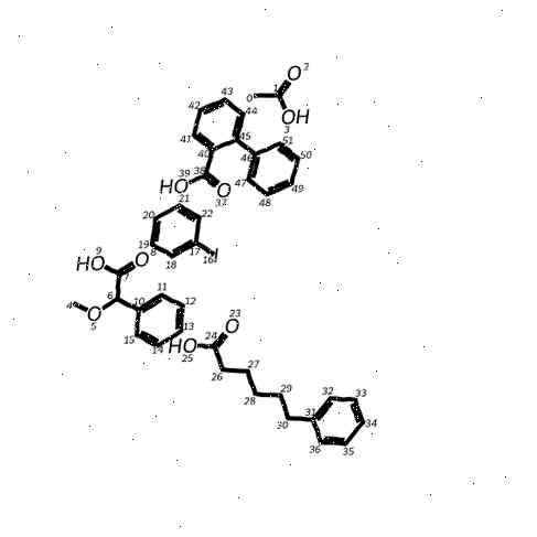 CC(=O)O.COC(C(=O)O)c1ccccc1.Ic1ccccc1.O=C(O)CCCCCc1ccccc1.O=C(O)c1ccccc1-c1ccccc1